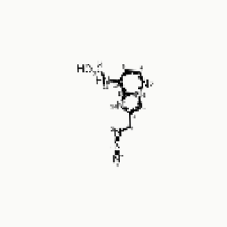 [N-]=[N+]=NCc1cn2nccc(NC(=O)O)c2n1